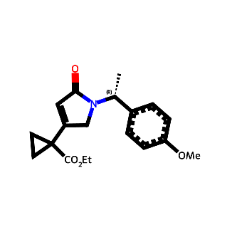 CCOC(=O)C1(C2=CC(=O)N([C@H](C)c3ccc(OC)cc3)C2)CC1